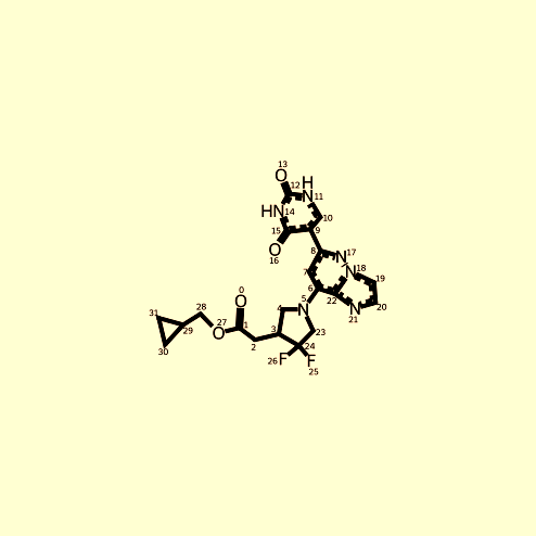 O=C(CC1CN(c2cc(-c3c[nH]c(=O)[nH]c3=O)nn3ccnc23)CC1(F)F)OCC1CC1